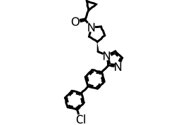 O=C(C1CC1)N1CC[C@@H](Cn2ccnc2-c2ccc(-c3cccc(Cl)c3)cc2)C1